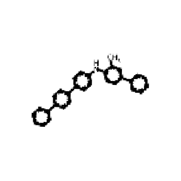 Cc1cc(-c2ccccc2)ccc1Nc1ccc(-c2ccc(-c3ccccc3)cc2)cc1